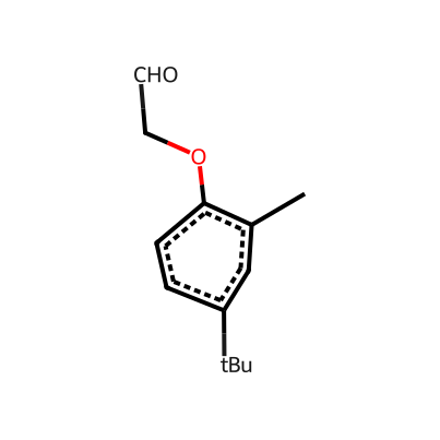 Cc1cc(C(C)(C)C)ccc1OCC=O